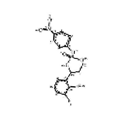 O=[N+]([O-])c1ccc(OP2(=O)OCCC(c3cccc(F)c3F)O2)cc1